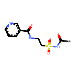 CC(C)C(=O)NS(=O)(=O)CCNC(=O)c1cccnc1